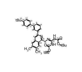 Cc1cc2cc(-c3cccc(-c4ccc(C(C)(C)C)cc4)c3)nc(CN=C(NC(=O)OC(C)(C)C)NC(=O)OC(C)(C)C)c2cc1C